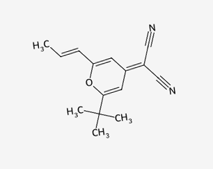 C/C=C/C1=CC(=C(C#N)C#N)C=C(C(C)(C)C)O1